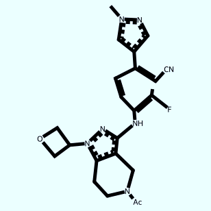 CC(=O)N1CCc2c(c(NC(/C=C\C(=C\C#N)c3cnn(C)c3)=C(/C)F)nn2C2COC2)C1